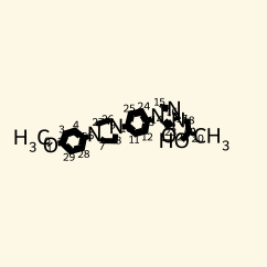 COc1ccc(N2CCN(c3ccc(-n4cnn(C[C@@H](C)O)c4=O)cc3)CC2)cc1